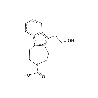 O=C(O)N1CCc2c(n(CCO)c3ccccc23)CC1